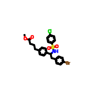 COC(=O)CCCc1ccc(C(Cc2ccc(Br)cc2)NS(=O)(=O)c2ccc(Cl)cc2)cc1